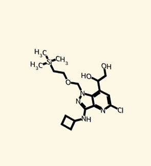 C[Si](C)(C)CCOCn1nc(NC2CCC2)c2nc(Cl)cc(C(O)CO)c21